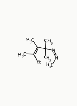 CC/C(C)=C(/C)C(C)(C)/N=N\C